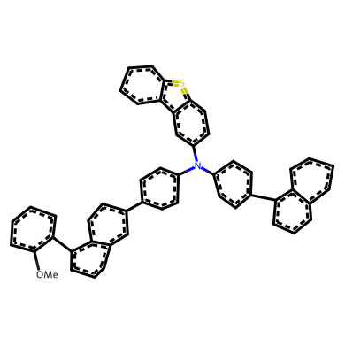 COc1ccccc1-c1cccc2cc(-c3ccc(N(c4ccc(-c5cccc6ccccc56)cc4)c4ccc5sc6ccccc6c5c4)cc3)ccc12